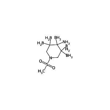 BC1(B)CN(S(C)(=O)=O)CC(B)(B)C1(B)N